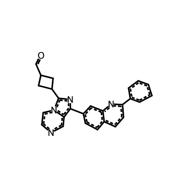 O=CC1CC(c2nc(-c3ccc4ccc(-c5ccccc5)nc4c3)c3cnccn23)C1